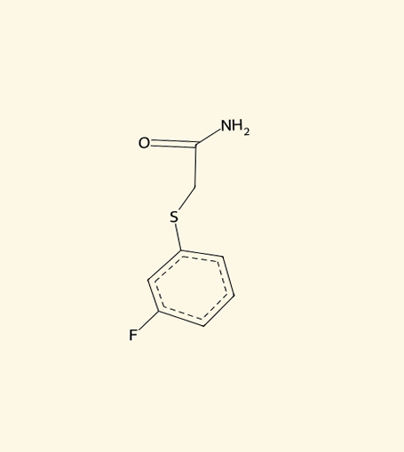 NC(=O)CSc1cccc(F)c1